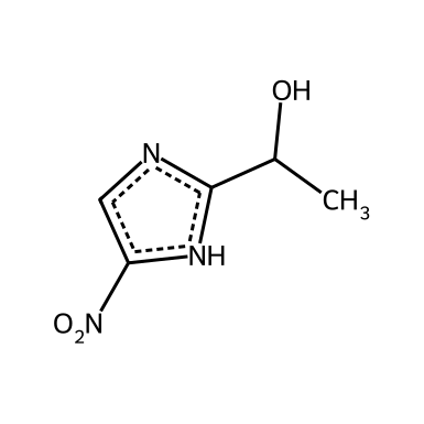 CC(O)c1ncc([N+](=O)[O-])[nH]1